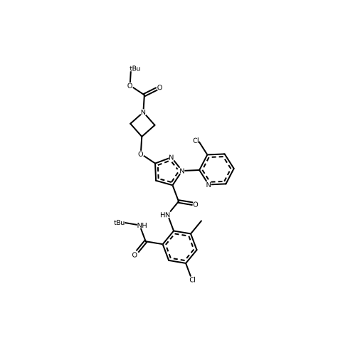 Cc1cc(Cl)cc(C(=O)NC(C)(C)C)c1NC(=O)c1cc(OC2CN(C(=O)OC(C)(C)C)C2)nn1-c1ncccc1Cl